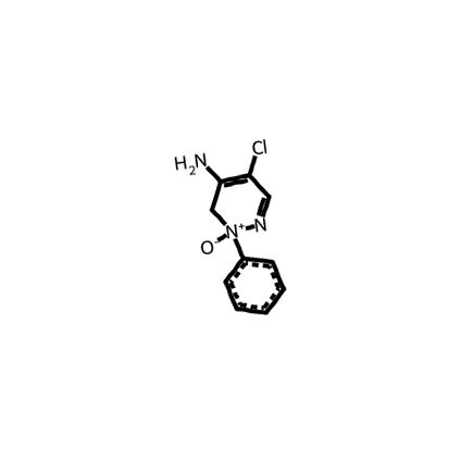 NC1=C(Cl)C=N[N+]([O-])(c2ccccc2)C1